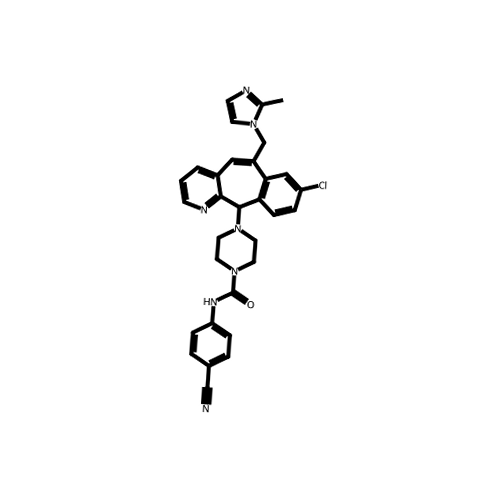 Cc1nccn1CC1=Cc2cccnc2C(N2CCN(C(=O)Nc3ccc(C#N)cc3)CC2)c2ccc(Cl)cc21